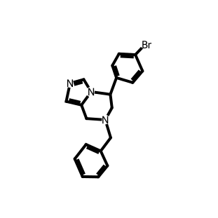 Brc1ccc(C2CN(Cc3ccccc3)Cc3cncn32)cc1